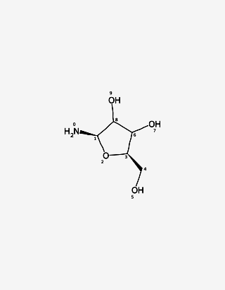 N[C@@H]1O[C@H](CO)C(O)C1O